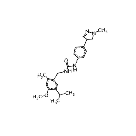 COc1cc(C)c(CNC(=O)Nc2ccc(C3C=NN(C)C3)cc2)cc1C(C)C